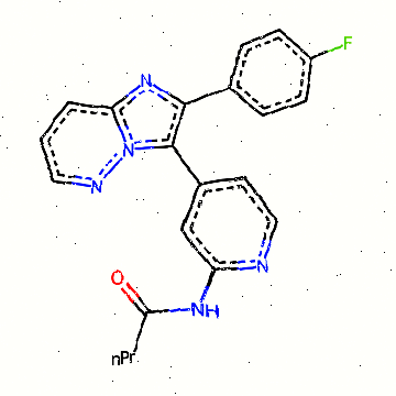 CCCC(=O)Nc1cc(-c2c(-c3ccc(F)cc3)nc3cccnn23)ccn1